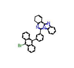 Brc1c2ccccc2c(-c2cccc(-c3nc4c(c5nc6ccccc6n35)C=CCC4)c2)c2ccccc12